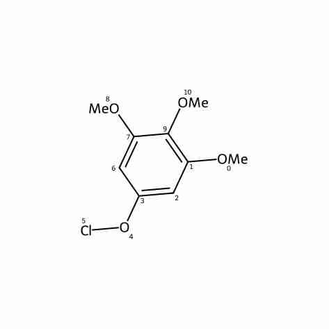 COc1cc(OCl)cc(OC)c1OC